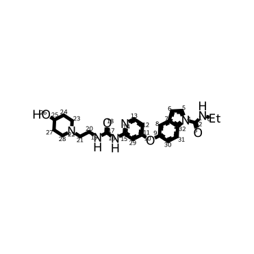 CCNC(=O)n1ccc2cc(Oc3ccnc(NC(=O)NCCN4CCC(O)CC4)c3)ccc21